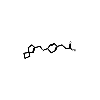 O=C(O)CCC1=CCC(OCC2=CC3(CCC3)CC2)C=C1